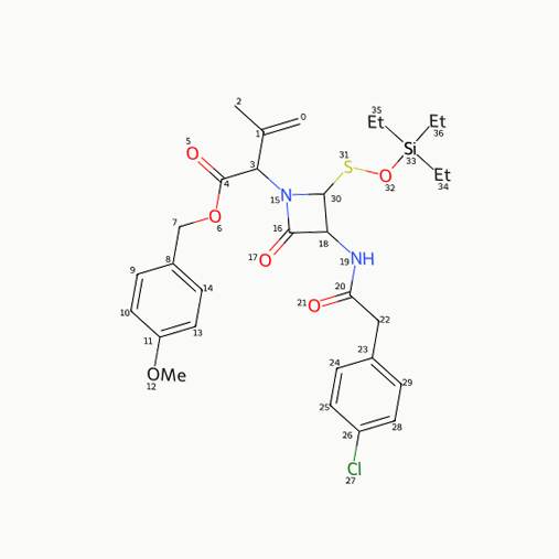 C=C(C)C(C(=O)OCc1ccc(OC)cc1)N1C(=O)C(NC(=O)Cc2ccc(Cl)cc2)C1SO[Si](CC)(CC)CC